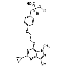 CCCc1nn(C)c2c(OCCOc3ccc(C[C@](CC)(OCC)C(=O)O)cc3)nc(C3CC3)nc12